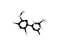 Cc1cc(-c2cc(OC(C)C)c(F)cc2Cl)nc(N)n1